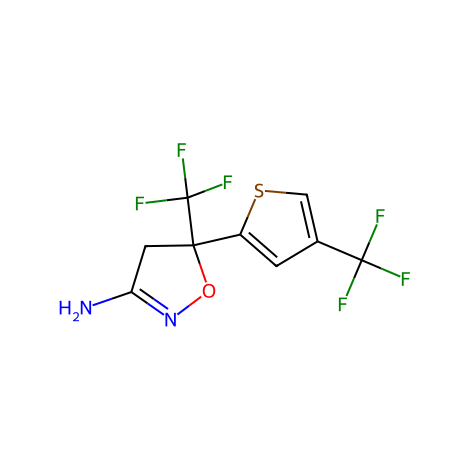 NC1=NOC(c2cc(C(F)(F)F)cs2)(C(F)(F)F)C1